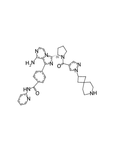 Nc1nccn2c([C@@H]3CCCN3C(=O)c3cnn(C4CC5(CCNCC5)C4)c3)nc(-c3ccc(C(=O)Nc4ccccn4)cc3)c12